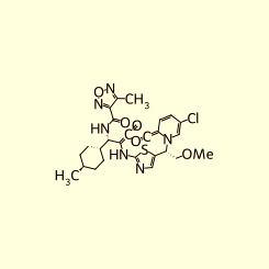 COC[C@H](c1cnc(NC(=C=O)[C@@H](NC(=O)c2nonc2C)[C@H]2CC[C@H](C)CC2)s1)N1C=C(Cl)C=CC1=C=O